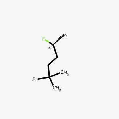 CCC(C)(C)CC[C@@H](F)C(C)C